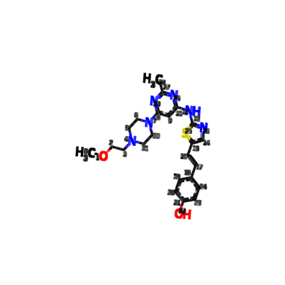 COCCN1CCN(c2cc(Nc3ncc(/C=C/c4ccc(O)cc4)s3)nc(C)n2)CC1